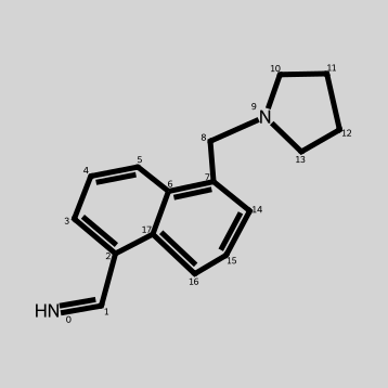 N=Cc1cccc2c(CN3CCCC3)cccc12